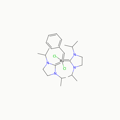 CC(C)N1CCN(C(C)C)[C]1=[Ru]([Cl])([Cl])(=[CH]c1ccccc1)=[C]1N(C(C)C)CCN1C(C)C